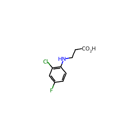 O=C(O)CCNc1ccc(F)cc1Cl